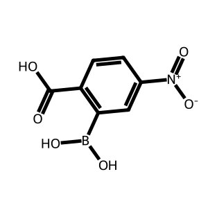 O=C(O)c1ccc([N+](=O)[O-])cc1B(O)O